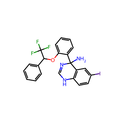 NC1(c2ccccc2OC(c2ccccc2)C(F)(F)F)N=CNc2ccc(I)cc21